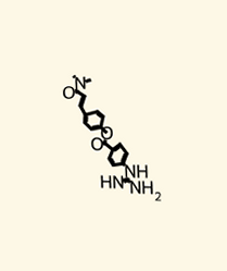 CN(C)C(=O)/C=C/c1ccc(OC(=O)c2ccc(NC(=N)N)cc2)cc1